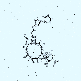 CC[C@H]1OC(=O)[C@H](C)C(=O)[C@H](C)[C@@H](OC2O[C@H](C)C[C@H](N(C)C)[C@H]2O)[C@@](C)(OC)C[C@@H](C)C(=O)[C@H](C)[C@@H]2C1OC(=O)N2NCCCn1cnc(-c2cccnc2)c1